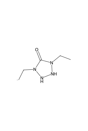 [CH2]CN1NNN(CC)C1=O